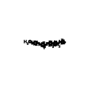 C=C(/C=C\C(=C/C)CCc1ccccc1)c1ccc(/C=C/C2=CC[C@H](CCC3=CCC(CCC)C=C3)C=C2F)cc1